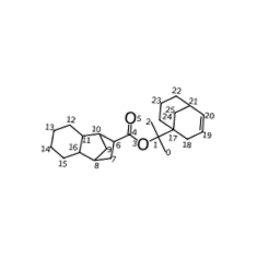 CC(C)(OC(=O)C1CC2CC1C1CCCCC21)C12CC=CC(CCC1)C2